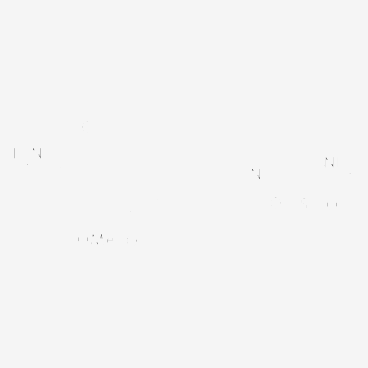 COc1cc(N)c(Cl)cc1C(=O)CCC1CCN(CC(N)S(C)(=O)=O)CC1